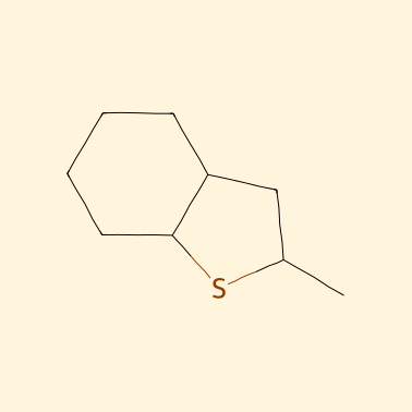 CC1CC2CCCCC2S1